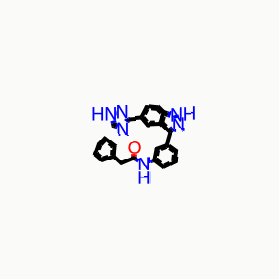 O=C(Cc1ccccc1)Nc1cccc(-c2n[nH]c3ccc(-c4nc[nH]n4)cc23)c1